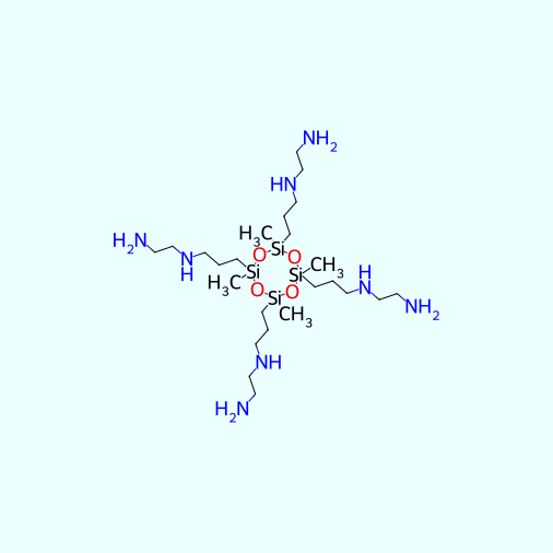 C[Si]1(CCCNCCN)O[Si](C)(CCCNCCN)O[Si](C)(CCCNCCN)O[Si](C)(CCCNCCN)O1